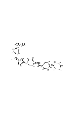 CCOC(=O)c1ccc(N(C)c2nc(-c3ccc(NCc4ccc(C5CCCCC5)cc4)cc3)cs2)cc1